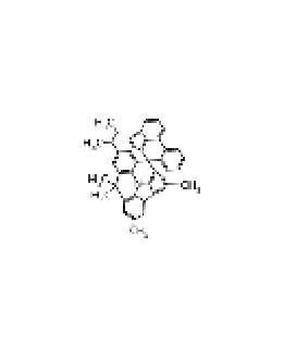 CCC(C)c1cc2c3c(c1)C1(c4ccccc4-c4cccc5cccc1c45)c1cc(C)cc4c5cc(C)cc(c5n-3c14)C2(C)C